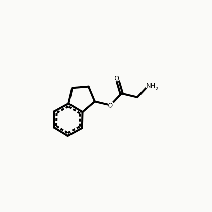 NCC(=O)OC1CCc2ccccc21